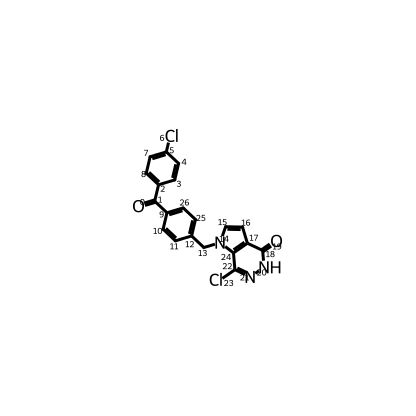 O=C(c1ccc(Cl)cc1)c1ccc(Cn2ccc3c(=O)[nH]nc(Cl)c32)cc1